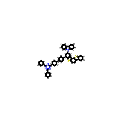 c1ccc(-c2nc(-c3ccccc3)nc(-c3ccc(-c4ccc(-c5cc(-n6c7ccccc7c7ccccc76)cc6c5sc5ccc7c8ccccc8sc7c56)cc4)cc3)n2)cc1